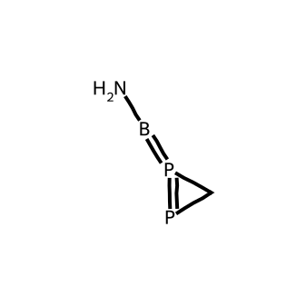 NB=P1=PC1